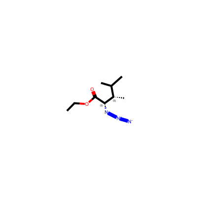 CCOC(=O)[C@@H](N=[N+]=[N-])[C@@H](C)C(C)C